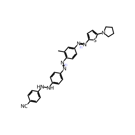 Cc1cc(/N=N/c2ccc(N3CCCC3)s2)ccc1/N=N/c1ccc(NNc2ccc(C#N)cc2)cc1